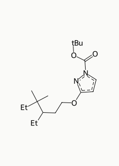 CCC(CCOc1ccn(C(=O)OC(C)(C)C)n1)C(C)(C)CC